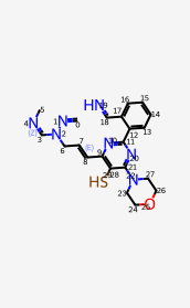 C=NN(/C=N\C)C/C=C/c1nc(-c2ccccc2C=N)nc(N2CCOCC2)c1S